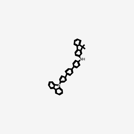 CC1(C)c2ccccc2-c2ccc(Nc3ccc(-c4ccc(-c5ccc(-n6c7ccccc7c7ccccc76)cc5)cc4)cc3)cc21